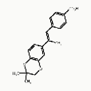 CC(=Cc1ccc(C(=O)O)cc1)c1ccc2c(c1)OCC(C)(C)S2